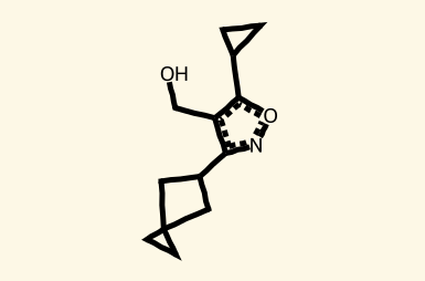 OCc1c(C2CC3(CC3)C2)noc1C1CC1